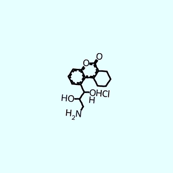 Cl.NCC(O)C(O)c1cccc2oc(=O)c3c(c12)CCCC3